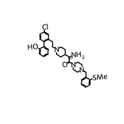 CSc1ccccc1CN1CCN(C(=O)[C@H](N)C2CCN(CCc3cc(Cl)ccc3-c3ccccc3O)CC2)CC1